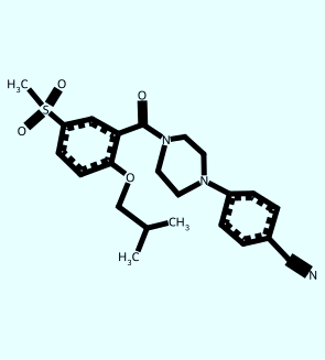 CC(C)COc1ccc(S(C)(=O)=O)cc1C(=O)N1CCN(c2ccc(C#N)cc2)CC1